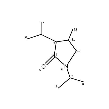 CC(C)C1C(=O)N(C(C)C)CC1C